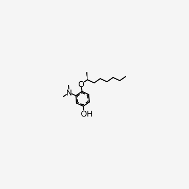 CCCCCC[C@H](C)Oc1ccc(O)cc1N(C)C